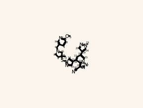 COc1ccc(CN2CCC(C)(Sn3cc(-c4cc(-c5cnn(C)c5)cn5nnc(C#N)c45)cn3)C2)cn1